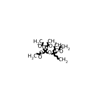 C=CCCC(CCC=C)(COCC(COC(=O)C=C)(COC(=O)C=C)COC(=O)C=C)COC(=O)C=C